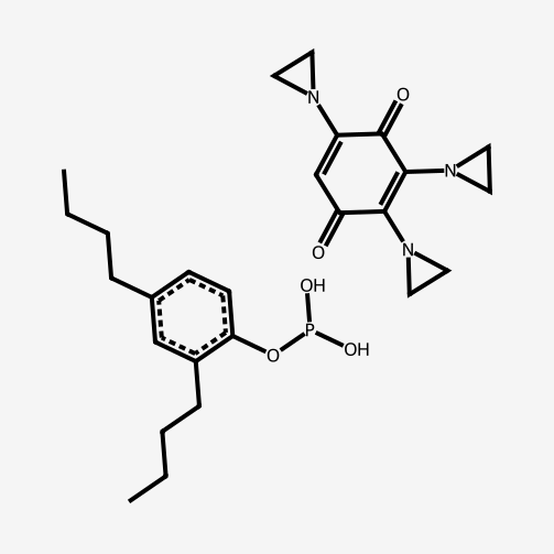 CCCCc1ccc(OP(O)O)c(CCCC)c1.O=C1C=C(N2CC2)C(=O)C(N2CC2)=C1N1CC1